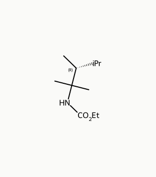 CCOC(=O)NC(C)(C)[C@H](C)C(C)C